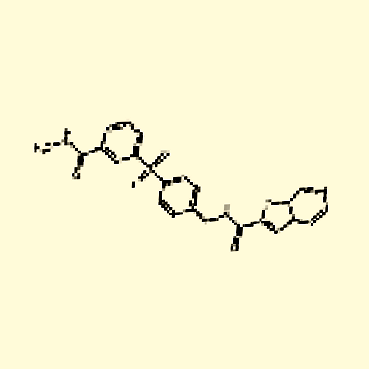 CNC(=O)c1cccc(S(=O)(=O)c2ccc(CNC(=O)C3=CC4C=CN=CC4O3)cc2)c1